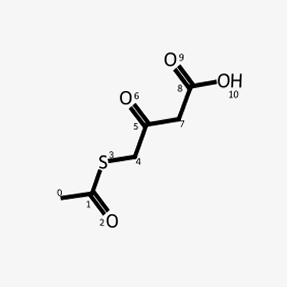 CC(=O)SCC(=O)CC(=O)O